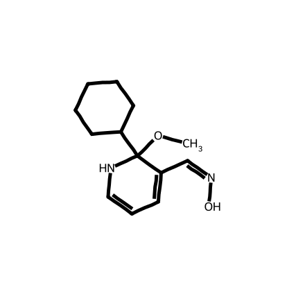 COC1(C2CCCCC2)NC=CC=C1/C=N\O